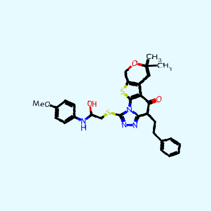 COc1ccc(NC(O)CSc2nnc3n2-c2sc4c(c2C(=O)C3CCc2ccccc2)CC(C)(C)OC4)cc1